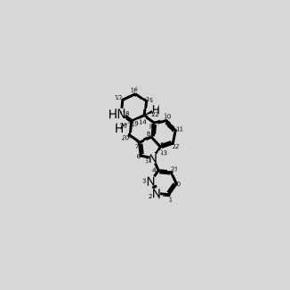 c1cnnc(-n2cc3c4c(cccc42)[C@H]2CCCN[C@@H]2C3)c1